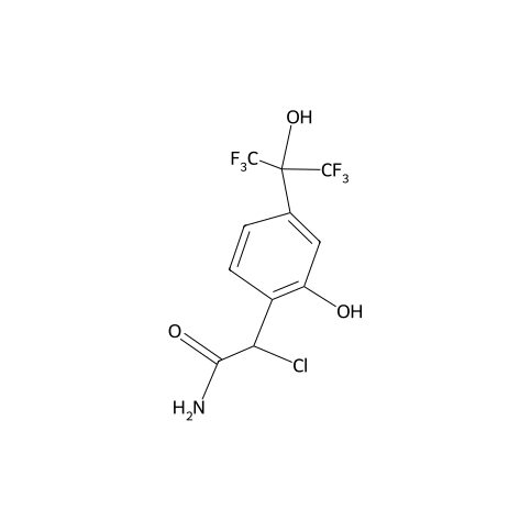 NC(=O)C(Cl)c1ccc(C(O)(C(F)(F)F)C(F)(F)F)cc1O